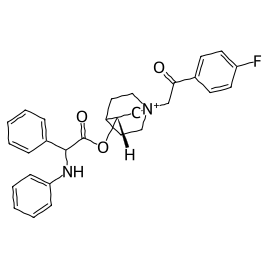 O=C(C[N+]12CCC(CC1)[C@@H](OC(=O)C(Nc1ccccc1)c1ccccc1)C2)c1ccc(F)cc1